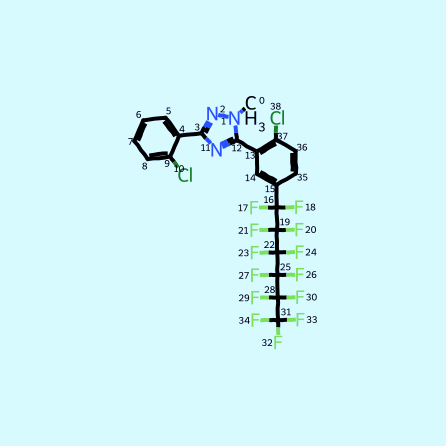 Cn1nc(-c2ccccc2Cl)nc1-c1cc(C(F)(F)C(F)(F)C(F)(F)C(F)(F)C(F)(F)C(F)(F)F)ccc1Cl